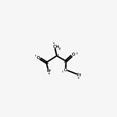 CCOC(=O)C(C)C(=O)Br